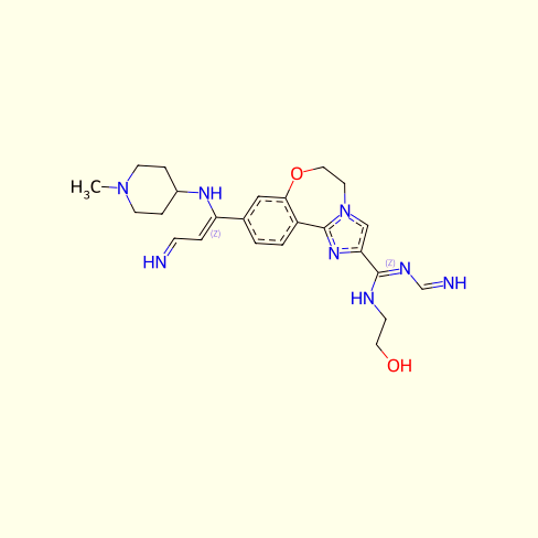 CN1CCC(N/C(=C\C=N)c2ccc3c(c2)OCCn2cc(/C(=N/C=N)NCCO)nc2-3)CC1